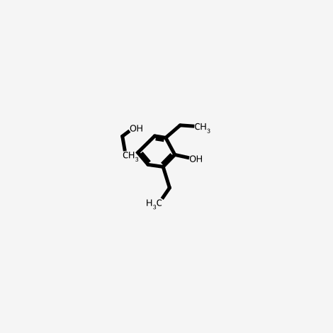 CCO.CCc1cccc(CC)c1O